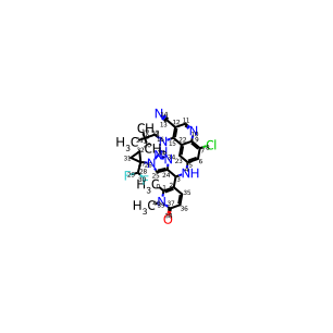 Cc1c(C(Nc2cc(Cl)c3ncc(C#N)c(NCC(C)(C)C)c3c2)c2cn(C3(C(F)F)CC3)nn2)ccc(=O)n1C